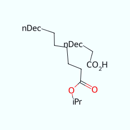 CCCCCCCCCCCC(=O)O.CCCCCCCCCCCCCCCC(=O)OC(C)C